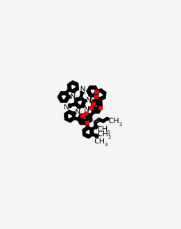 C=C(C)c1cccc(-c2ccc3c(c2)c2ccc4c5ccccc5sc4c2n3-c2c(-n3c4ccccc4c4ccccc43)c(C#N)c(-n3c4ccccc4c4ccccc43)c(C#N)c2-n2c3ccccc3c3ccccc32)c1C(=C)/C=C\CCC